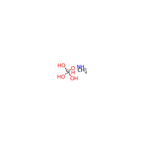 C.N.O[Si](O)(O)O